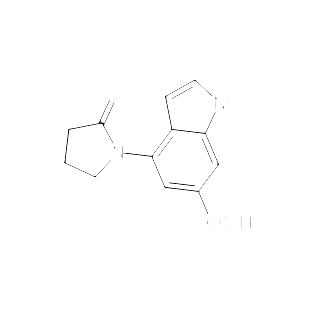 O=C(O)c1cc(N2CCCC2=O)c2cc[nH]c2c1